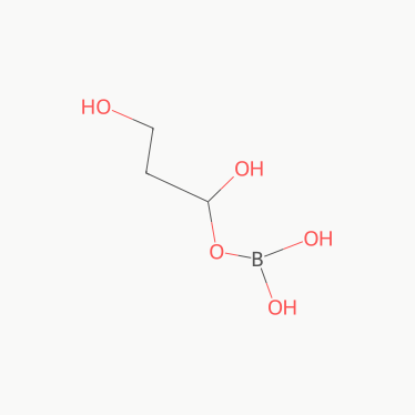 OCCC(O)OB(O)O